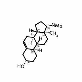 CN[C@H]1CC[C@H]2[C@@H]3CC=C4C[C@@H](O)CC[C@@H]4[C@H]3CC[C@]12C